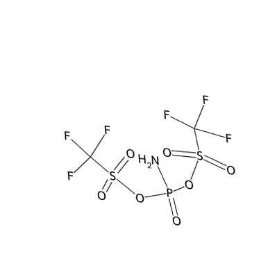 NP(=O)(OS(=O)(=O)C(F)(F)F)OS(=O)(=O)C(F)(F)F